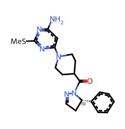 CSc1nc(N)cc(N2CCC(C(=O)N3N=CC[C@H]3c3ccccc3)CC2)n1